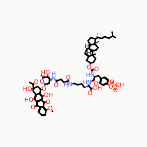 COc1cccc2c1C(=O)c1c(O)c3c(c(O)c1C2=O)C[C@@](O)(C(C)=O)C[C@@H]3O[C@H]1C[C@H](NC(=O)CCC(=O)NCCCC[C@@H](NC(=O)C(Cc2ccc(OP(=O)(O)O)cc2)NC(=O)OC2CCC3(C)C(=CCC4[C@@H]3CC[C@@]3(C)C([C@H](C)CCCC(C)C)CC[C@@H]43)C2)C(=O)O)[C@H](O)[C@H](C)O1